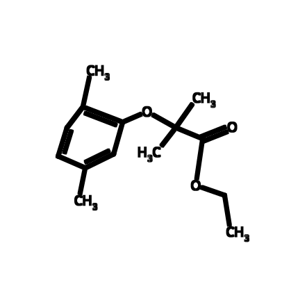 CCOC(=O)C(C)(C)Oc1cc(C)ccc1C